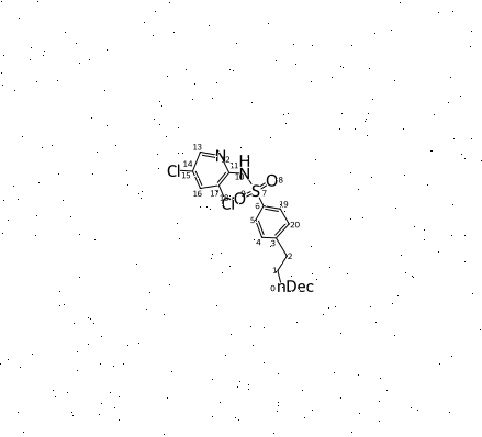 CCCCCCCCCCCCc1ccc(S(=O)(=O)Nc2ncc(Cl)cc2Cl)cc1